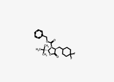 CC(C)(C)[C@H]1OC(=O)[C@H](CC2CCC(F)(F)CC2)N1C(=O)OCc1ccccc1